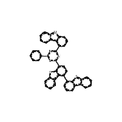 c1ccc(-c2nc(-c3ccc(-c4cccc5c4sc4ccccc45)c4c3oc3ccccc34)nc(-c3cccc4oc5ccccc5c34)n2)cc1